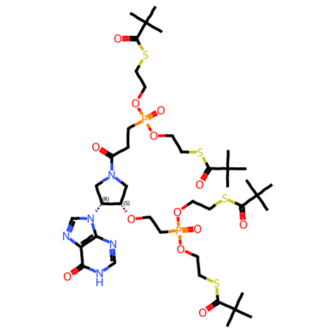 CC(C)(C)C(=O)SCCOP(=O)(CCO[C@H]1CN(C(=O)CCP(=O)(OCCSC(=O)C(C)(C)C)OCCSC(=O)C(C)(C)C)C[C@H]1n1cnc2c(=O)[nH]cnc21)OCCSC(=O)C(C)(C)C